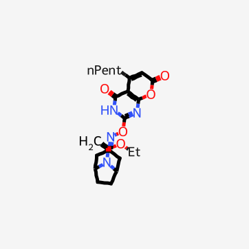 C=C(OCC)N1C2CCC1CC(=NOc1nc3oc(=O)cc(CCCCC)c3c(=O)[nH]1)C2